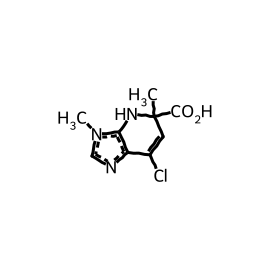 Cn1cnc2c1NC(C)(C(=O)O)C=C2Cl